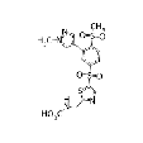 Cn1cc(-c2cc(S(=O)(=O)c3cnc(CNC(=O)O)s3)ccc2S(C)(=O)=O)cn1